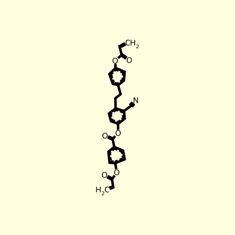 C=CC(=O)Oc1ccc(CCc2ccc(OC(=O)c3ccc(OC(=O)C=C)cc3)cc2C#N)cc1